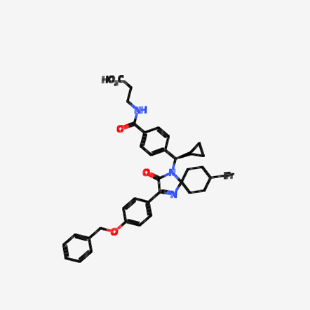 CC(C)C1CCC2(CC1)N=C(c1ccc(OCc3ccccc3)cc1)C(=O)N2[C@@H](c1ccc(C(=O)NCCC(=O)O)cc1)C1CC1